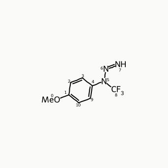 COc1ccc(N(N=N)C(F)(F)F)cc1